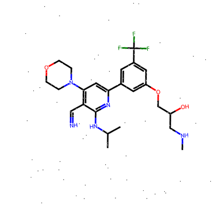 CNCC(O)COc1cc(-c2cc(N3CCOCC3)c(C=N)c(NC(C)C)n2)cc(C(F)(F)F)c1